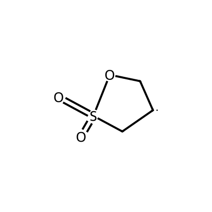 O=S1(=O)C[CH]CO1